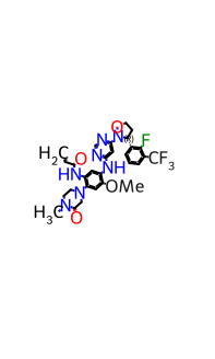 C=CC(=O)Nc1cc(Nc2cc(N3OCC[C@@H]3c3cccc(C(F)(F)F)c3F)ncn2)c(OC)cc1N1CCN(C)C(=O)C1